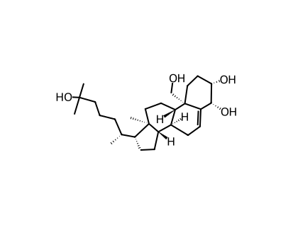 C[C@H](CCCC(C)(C)O)[C@H]1CC[C@H]2[C@@H]3CC=C4[C@@H](O)[C@@H](O)CC[C@]4(CO)[C@H]3CC[C@]12C